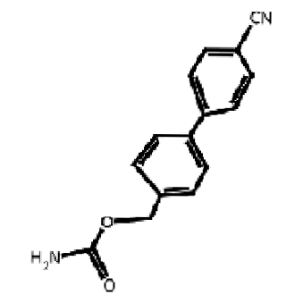 N#Cc1ccc(-c2ccc(COC(N)=O)cc2)cc1